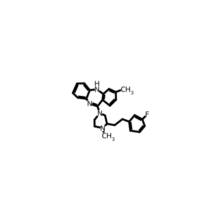 Cc1ccc2c(c1)Nc1ccccc1N=C2N1CCN(C)C(CCc2cccc(F)c2)C1